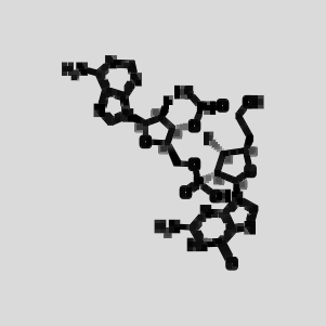 Nc1nc2c(ncn2[C@@H]2O[C@H](CCO)[C@@H](F)[C@H]2P(=O)(O)OC[C@H]2O[C@@H](n3cnc4c(N)ncnc43)[C@@H](F)[C@@H]2O[PH](=O)S)c(=O)[nH]1